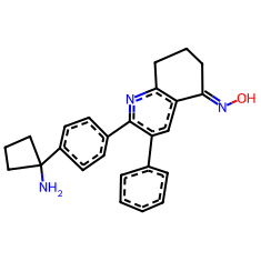 NC1(c2ccc(-c3nc4c(cc3-c3ccccc3)C(=NO)CCC4)cc2)CCC1